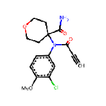 C#CC(=O)N(c1ccc(OC)c(Cl)c1)C1(C(N)=O)CCOCC1